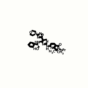 CCCN1C(=O)c2ccc(Nc3ncc(-c4nc(N5CCOCC5)no4)c(N[C@H](CO)c4ccccc4)n3)nc2C1(C)C